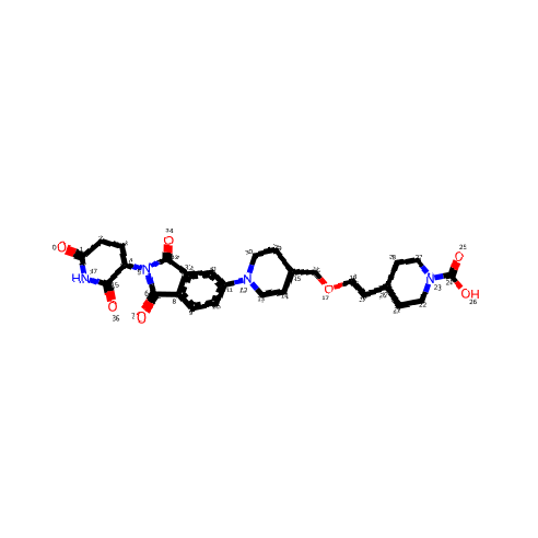 O=C1CCC(N2C(=O)c3ccc(N4CCC(COCCC5CCN(C(=O)O)CC5)CC4)cc3C2=O)C(=O)N1